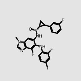 Cn1cnc2c(F)c(Nc3ccc(I)cc3F)c(N[S+]([O-])C3CC3c3cccc(F)c3)cc21